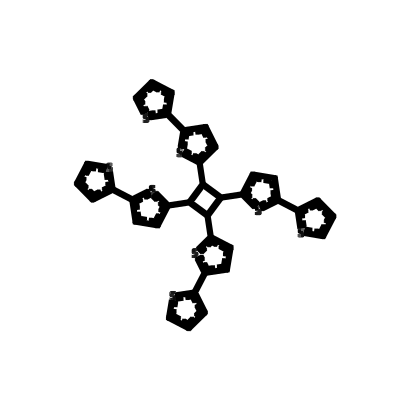 c1csc(-c2ccc(C3C(c4ccc(-c5cccs5)s4)C(c4ccc(-c5cccs5)s4)C3c3ccc(-c4cccs4)s3)s2)c1